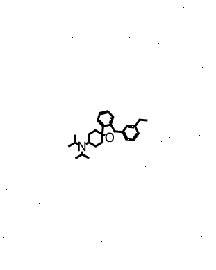 CCc1cccc(C2OC3(CCC(N(C(C)C)C(C)C)CC3)c3ccccc32)c1